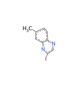 Cc1ccc2ncc(I)nc2c1